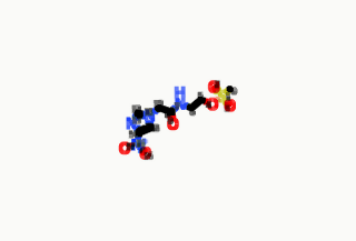 CS(=O)(=O)OCCNC(=O)Cn1cnc([N+](=O)[O-])c1